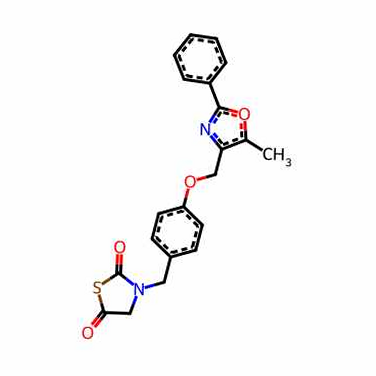 Cc1oc(-c2ccccc2)nc1COc1ccc(CN2CC(=O)SC2=O)cc1